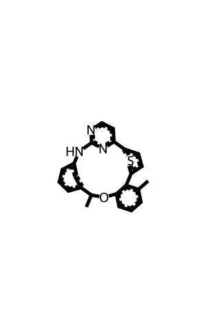 Cc1cccc2c1-c1ccc(s1)-c1ccnc(n1)Nc1cccc(c1)C(C)O2